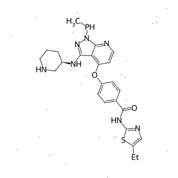 CCc1cnc(NC(=O)c2ccc(Oc3ccnc4c3c(N[C@@H]3CCCNC3)nn4PC)cc2)s1